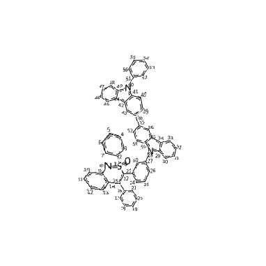 O=S1(c2ccccc2)=Nc2ccccc2C(c2ccccc2)=C1c1cccc(-n2c3ccccc3c3cc(-c4ccc5c(c4)c4ccccc4n5-c4ccccc4)ccc32)c1